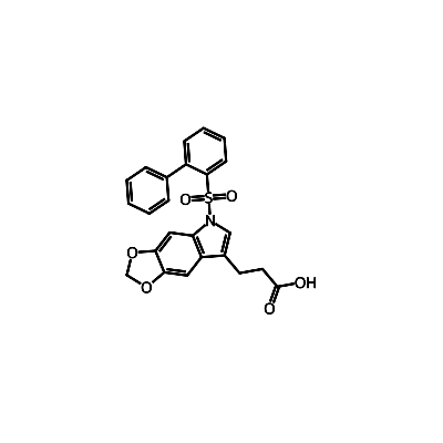 O=C(O)CCc1cn(S(=O)(=O)c2ccccc2-c2ccccc2)c2cc3c(cc12)OCO3